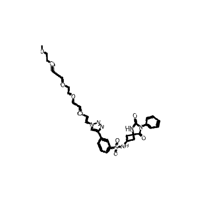 COCCOCCOCCOCCOCCn1cc(-c2cccc(S(=O)(=O)NC3CC4(C3)NC(=O)N(c3ccccc3)C4=O)c2)nn1